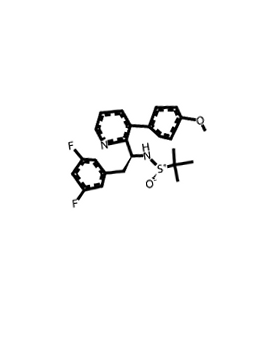 COc1ccc(-c2cccnc2[C@H](Cc2cc(F)cc(F)c2)N[S@@+]([O-])C(C)(C)C)cc1